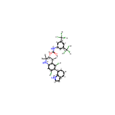 C[C@H]1c2c(cc(F)c(-c3cccc4cc[nH]c34)c2F)NC(C)(C)[C@@H]1OC(=O)Nc1cc(C(F)(F)F)cc(C(F)(F)F)c1